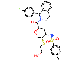 Cc1ccc(S(=O)(=O)N[C@H]2C[C@H](C(=O)N3CCc4ccccc4[C@@H]3c3ccc(F)cc3)OC[C@@H]2SCCO)cc1